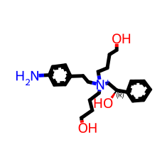 Nc1ccc(CC[N+](CCCCO)(CCCCO)C[C@H](O)c2ccccc2)cc1